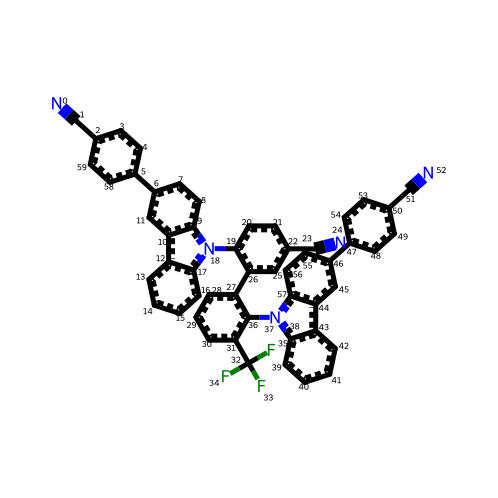 N#Cc1ccc(-c2ccc3c(c2)c2ccccc2n3-c2ccc(C#N)cc2-c2cccc(C(F)(F)F)c2-n2c3ccccc3c3cc(-c4ccc(C#N)cc4)ccc32)cc1